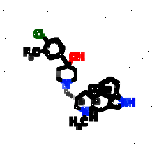 CO[C@]12C[C@@H](CN3CCC(O)(c4ccc(Cl)c(C(F)(F)F)c4)CC3)CN(C)[C@@H]1Cc1c[nH]c3cccc2c13